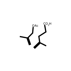 C=C(C)CCC(=O)O.C=C(C)COC(C)=O